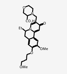 CCC1Cc2cc(OCCCOC)c(OC)cc2-c2cc(=O)c(CN3CCOCC3C(=O)O)cn21